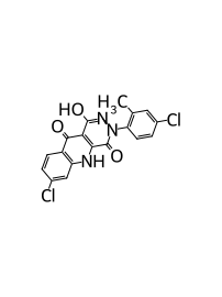 Cc1cc(Cl)ccc1-n1nc(O)c2c(=O)c3ccc(Cl)cc3[nH]c2c1=O